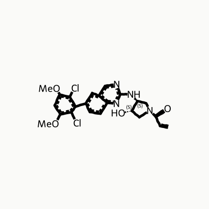 C=CC(=O)N1C[C@H](Nc2ncc3cc(-c4c(Cl)c(OC)cc(OC)c4Cl)ccc3n2)[C@@H](O)C1